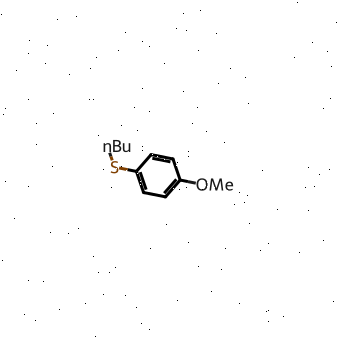 [CH2]CCCSc1ccc(OC)cc1